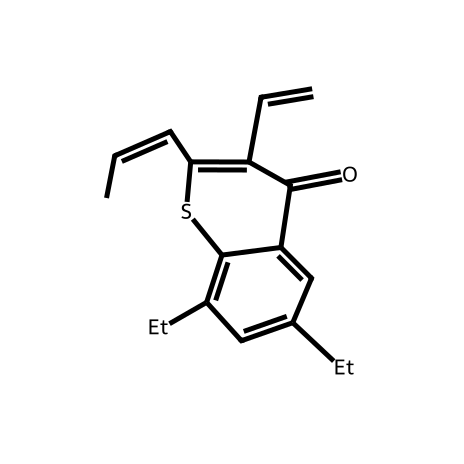 C=Cc1c(/C=C\C)sc2c(CC)cc(CC)cc2c1=O